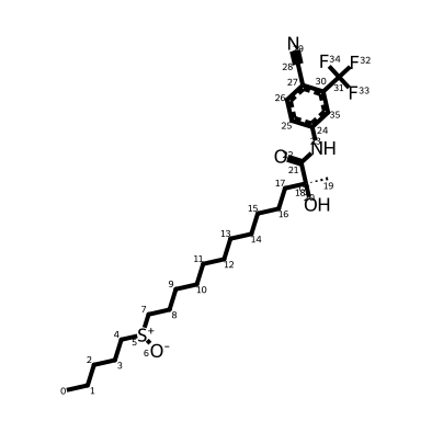 CCCCC[S+]([O-])CCCCCCCCCCC[C@](C)(O)C(=O)Nc1ccc(C#N)c(C(F)(F)F)c1